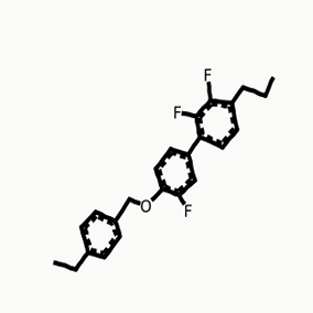 CCCc1ccc(-c2ccc(OCc3ccc(CC)cc3)c(F)c2)c(F)c1F